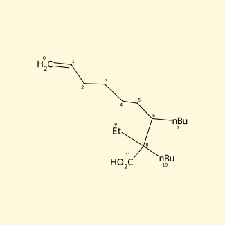 C=CCCCCC(CCCC)C(CC)(CCCC)C(=O)O